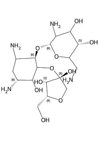 NCC1O[C@H](O[C@@H]2C(N)C[C@@H](N)C(O)C2O[C@]2(O)CO[C@H](CO)[C@@H]2O)C(N)C(O)[C@@H]1O